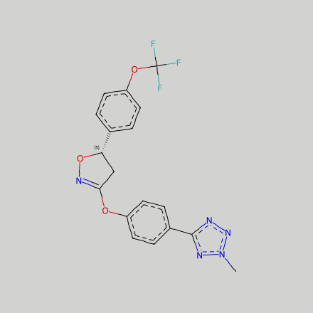 Cn1nnc(-c2ccc(OC3=NO[C@H](c4ccc(OC(F)(F)F)cc4)C3)cc2)n1